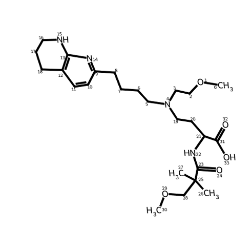 COCCN(CCCCc1ccc2c(n1)NCCC2)CCC(NC(=O)C(C)(C)COC)C(=O)O